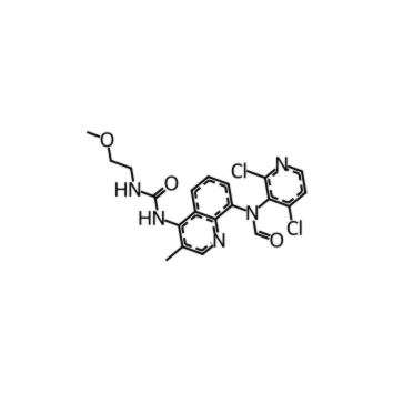 COCCNC(=O)Nc1c(C)cnc2c(N(C=O)c3c(Cl)ccnc3Cl)cccc12